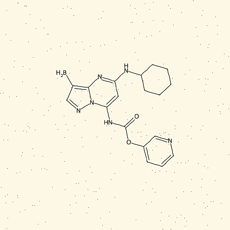 Bc1cnn2c(NC(=O)Oc3cccnc3)cc(NC3CCCCC3)nc12